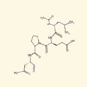 CC(=O)N[C@@H](CC(C)C)C(=O)N[C@@H](CCC(=O)O)C(=O)N1CCCC1C(=O)N[C@H](C=O)CC(=O)O